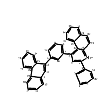 c1ccc(-c2cc(-c3cccc(-c4cc5ccccc5c5ccccc45)c3)c3c(ccc4ccccc43)n2)cc1